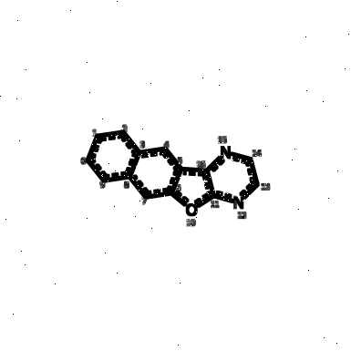 c1ccc2cc3c(cc2c1)oc1nccnc13